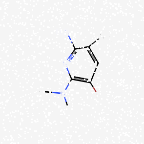 CN(C)c1nc(N)c([N+](=O)[O-])cc1Br